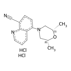 C[C@@H]1CN(c2ccc(C#N)c3ncccc23)C[C@H](C)O1.Cl.Cl